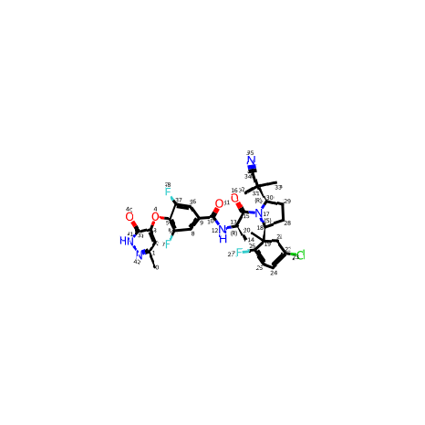 Cc1cc(Oc2c(F)cc(C(=O)N[C@H](C)C(=O)N3[C@H](C4(C)CC(Cl)=CC=C4F)CC[C@@H]3C(C)(C)C#N)cc2F)c(=O)[nH]n1